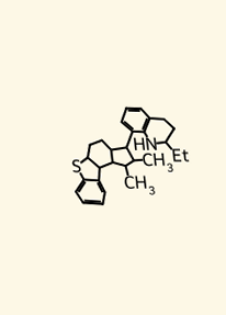 CCC1CCc2cccc(C3C(C)C(C)C4C3CCC3Sc5ccccc5C34)c2N1